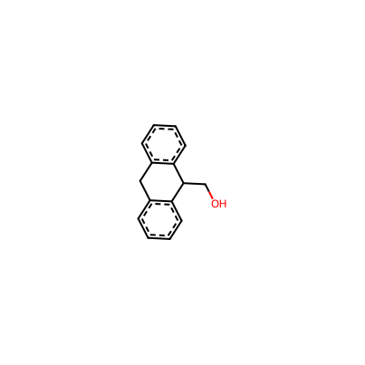 OCC1c2ccccc2Cc2ccccc21